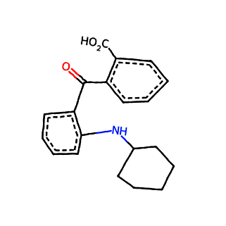 O=C(O)c1ccccc1C(=O)c1ccccc1NC1CCCCC1